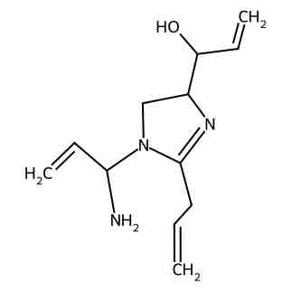 C=CCC1=NC(C(O)C=C)CN1C(N)C=C